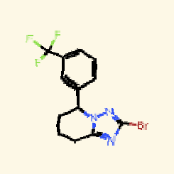 FC(F)(F)c1cccc(C2CCCc3nc(Br)nn32)c1